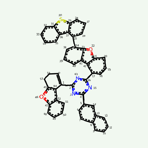 C1=C(c2nc(-c3ccc4ccccc4c3)nc(-c3cccc4oc5c(-c6cccc7sc8ccccc8c67)cccc5c34)n2)c2c(oc3ccccc23)CC1